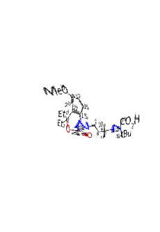 CCC1(CC)OC(=O)N(CCC(C)(C)N(C(=O)O)C(C)(C)C)c2ccc(OC)cc21